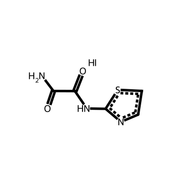 I.NC(=O)C(=O)Nc1nccs1